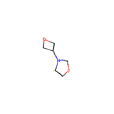 [CH]1COCN1C1COC1